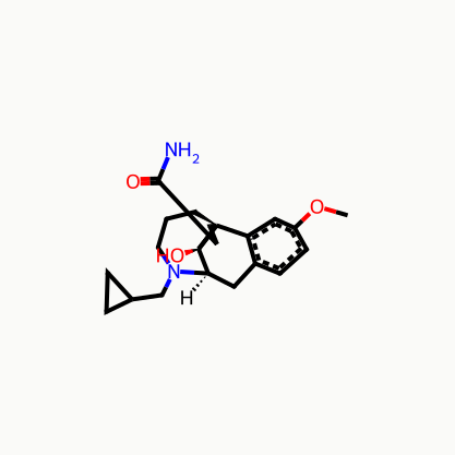 COc1ccc2c(c1)[C@]13CCCN(CC4CC4)[C@H](C2)[C@]1(O)CC(C(N)=O)C3